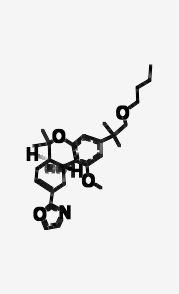 CCCCOCC(C)(C)c1cc(OC)c2c(c1)OC(C)(C)[C@@H]1CC=C(c3ncco3)C[C@@H]21